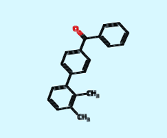 Cc1cccc(-c2ccc(C(=O)c3ccccc3)cc2)c1C